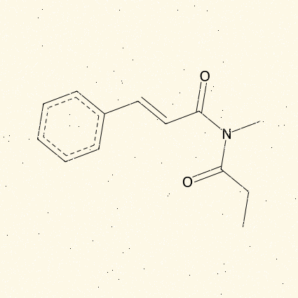 CCC(=O)N(C)C(=O)/C=C/c1ccccc1